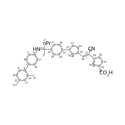 CCCC(C)(Nc1ccc(-c2ccc(C)cc2C)cc1)c1ccc(-c2ccc(/C=C(\C#N)c3ccc(C(=O)O)s3)s2)cc1